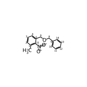 Cc1cccc(COCc2ccccc2)c1[N+](=O)[O-]